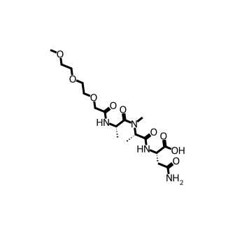 COCCOCCOCC(=O)N[C@@H](C)C(=O)N(C)[C@@H](C)C(=O)N[C@@H](CC(N)=O)C(=O)O